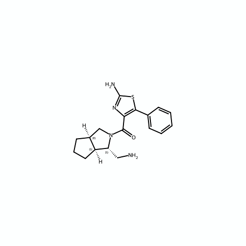 NC[C@@H]1[C@H]2CCC[C@H]2CN1C(=O)c1nc(N)sc1-c1ccccc1